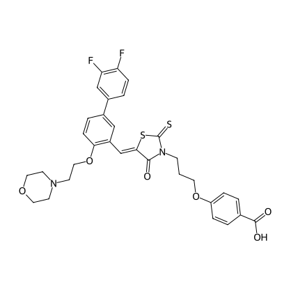 O=C(O)c1ccc(OCCCN2C(=O)C(=Cc3cc(-c4ccc(F)c(F)c4)ccc3OCCN3CCOCC3)SC2=S)cc1